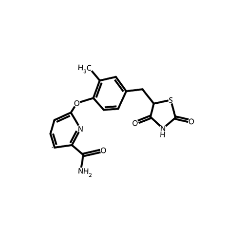 Cc1cc(CC2SC(=O)NC2=O)ccc1Oc1cc[c]c(C(N)=O)n1